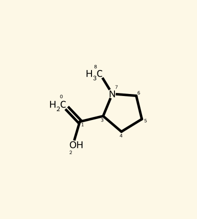 C=C(O)C1CCCN1C